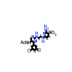 CC(=O)Nc1cnc(NCCNc2ccc([N+](=O)[O-])c(N)n2)nc1-c1cc(Cl)cc(Cl)c1